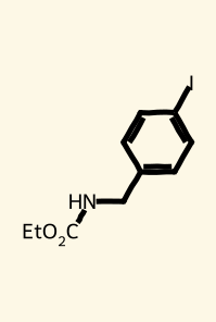 CCOC(=O)NCc1ccc(I)cc1